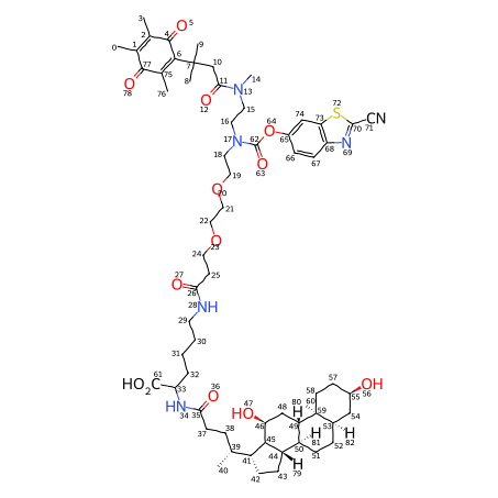 CC1=C(C)C(=O)C(C(C)(C)CC(=O)N(C)CCN(CCOCCOCCC(=O)NCCCCC(NC(=O)CC[C@@H](C)[C@H]2CC[C@@H]3C2[C@@H](O)C[C@H]2[C@H]3CC[C@@H]3C[C@H](O)CC[C@@]32C)C(=O)O)C(=O)Oc2ccc3nc(C#N)sc3c2)=C(C)C1=O